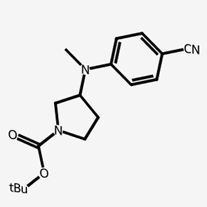 CN(c1ccc(C#N)cc1)C1CCN(C(=O)OC(C)(C)C)C1